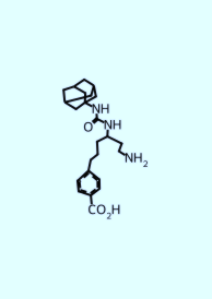 NCCC(CCCc1ccc(C(=O)O)cc1)NC(=O)NC12CC3CC(CC(C3)C1)C2